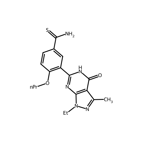 CCCOc1ccc(C(N)=S)cc1-c1nc2c(c(C)nn2CC)c(=O)[nH]1